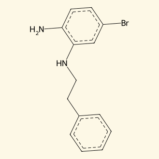 Nc1ccc(Br)cc1NCCc1ccccc1